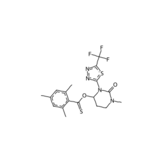 Cc1cc(C)c(C(=S)OC2CCN(C)C(=O)N2c2nnc(C(F)(F)F)s2)c(C)c1